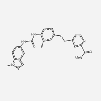 CNC(=O)c1cc(COc2ccc(NC(=O)Nc3ccc4c(cnn4C)c3)c(F)c2)ccn1